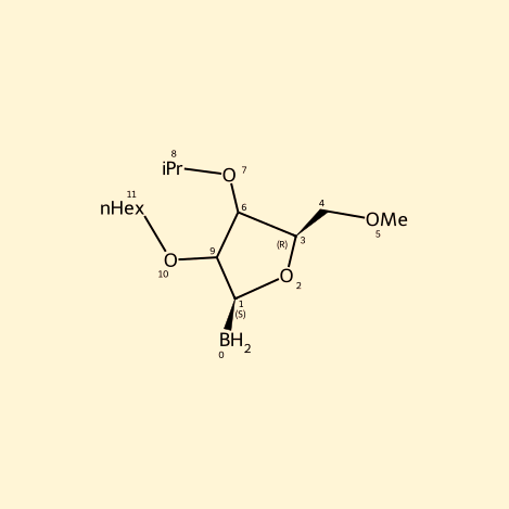 B[C@@H]1O[C@H](COC)C(OC(C)C)C1OCCCCCC